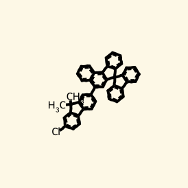 CC1(C)c2cc(Cl)ccc2-c2ccc(-c3cc4c(c5ccccc35)-c3ccccc3C43c4ccccc4-c4ccccc43)cc21